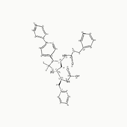 CC(C)(C)C(c1ccc(-c2ccncc2)cc1)[C@H](C[C@@H](O)[C@H](Cc1ccccc1)NC(=O)O)NC(=O)OCc1ccccc1